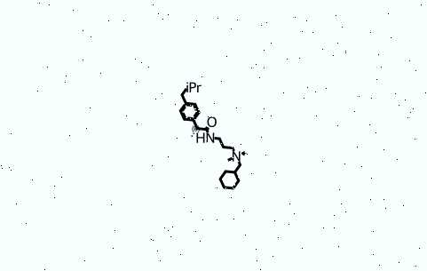 CC(C)Cc1ccc([C@@H](C)C(=O)NCCC[N+](C)(C)CC2CCCCC2)cc1